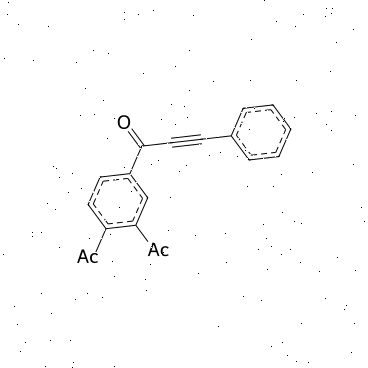 CC(=O)c1ccc(C(=O)C#Cc2ccccc2)cc1C(C)=O